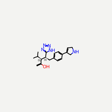 C=C(O)[C@@H](C(C)C)[C@H](Cc1ccc(C2=CCNC2)cc1)c1nnn[nH]1